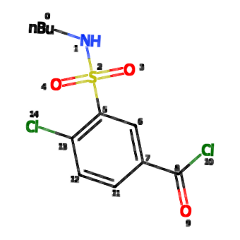 CCCCNS(=O)(=O)c1cc(C(=O)Cl)ccc1Cl